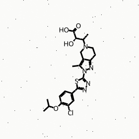 Cc1c2c(nn1-c1nnc(-c3ccc(OC(C)C)c(Cl)c3)s1)CCN(C(C)[C@@H](O)C(=O)O)C2